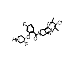 Cc1nc2c3c(nn2c(C)c1Cl)CN(C(=O)c1ccc(F)cc1O[C@H]1CCNC[C@@H]1F)C3